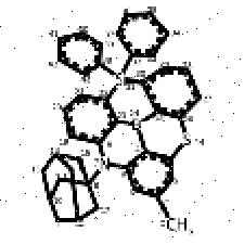 Cc1cc2c3c(c1)N(C14CC5CC(CC(C5)C1)C4)c1cccc4c1B3c1c(cccc1[Si]4(c1ccccc1)c1ccccc1)S2